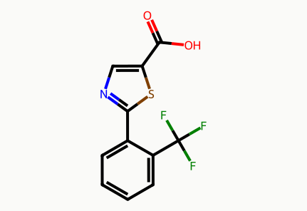 O=C(O)c1cnc(-c2ccccc2C(F)(F)F)s1